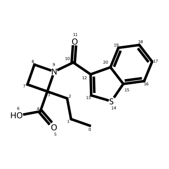 CCCC1(C(=O)O)CCN1C(=O)c1csc2ccccc12